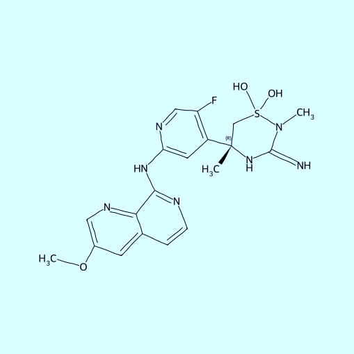 COc1cnc2c(Nc3cc([C@]4(C)CS(O)(O)N(C)C(=N)N4)c(F)cn3)nccc2c1